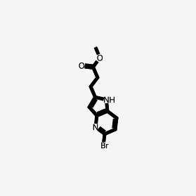 COC(=O)CCc1cc2nc(Br)ccc2[nH]1